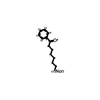 CCCCCCCCCCCCCCCC(=O)c1ccccc1